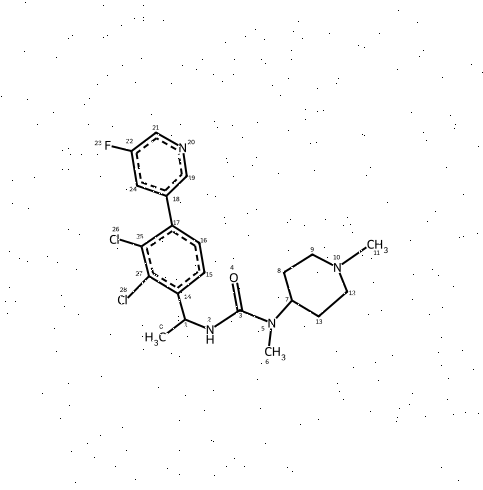 CC(NC(=O)N(C)C1CCN(C)CC1)c1ccc(-c2cncc(F)c2)c(Cl)c1Cl